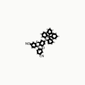 N#Cc1ccc2c(c1)Oc1cc(N3c4ccccc4[Si](c4ccccc4)(c4ccccc4)c4ccccc43)cc3c1B2c1ccc(C#N)cc1S3